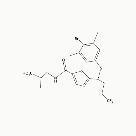 Cc1cc(SC(CCC(F)(F)F)c2ccc(C(=O)NCC(C)C(=O)O)s2)cc(C)c1Br